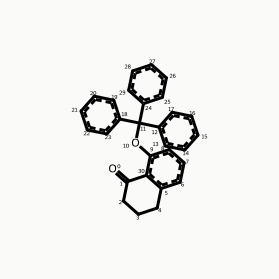 O=C1CCCc2cccc(OC(c3ccccc3)(c3ccccc3)c3ccccc3)c21